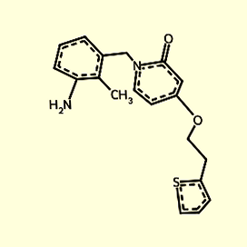 Cc1c(N)cccc1Cn1ccc(OCCc2cccs2)cc1=O